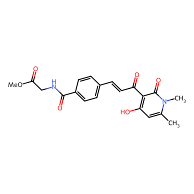 COC(=O)CNC(=O)c1ccc(C=CC(=O)c2c(O)cc(C)n(C)c2=O)cc1